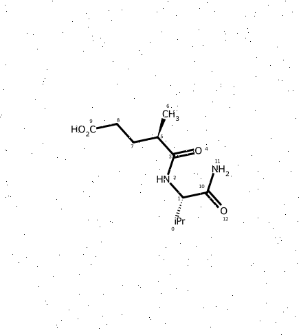 CC(C)[C@H](NC(=O)[C@H](C)CCC(=O)O)C(N)=O